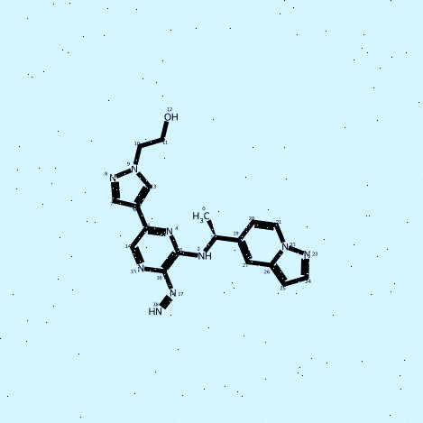 C[C@H](Nc1nc(-c2cnn(CCO)c2)cnc1N=N)c1ccn2nccc2c1